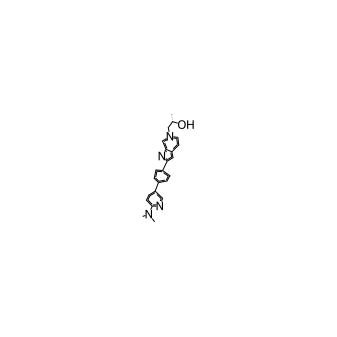 C[C@H](O)Cn1ccc2cc(-c3ccc(-c4ccc(N(C)C)nc4)cc3)nc-2c1